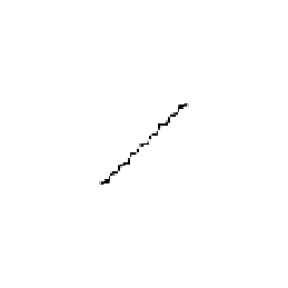 C=CCC/C=C/CC/C=C/CC/C=C/CCC=C